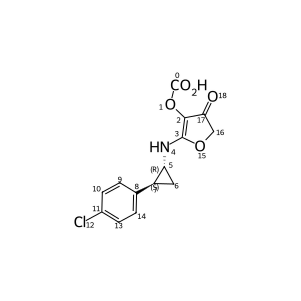 O=C(O)OC1=C(N[C@@H]2C[C@H]2c2ccc(Cl)cc2)OCC1=O